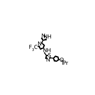 CC(C)Oc1ccc(-c2ncc(CNc3cc(-c4cn[nH]c4)nc(C(F)(F)F)c3)s2)cc1